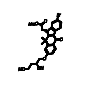 COC(=O)Cn1c2c(c3ccc(Br)cc31)C(=O)c1ccc(OC[C@@H](O)CCO)cc1C2(C)C